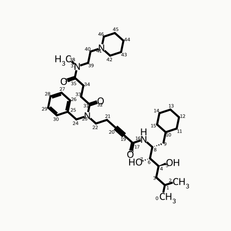 CC(C)C[C@H](O)[C@H](O)[C@@H](CC1CCCCC1)NC(=O)C#CCCN(Cc1ccccc1)C(=O)CCC(=O)N(C)CCN1CCCCC1